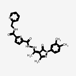 CC1=NN(c2ccc(C)c(C)c2)C(=O)/C1=C(/C)NNC(=O)c1ccc(C(=O)NCc2ccccn2)s1